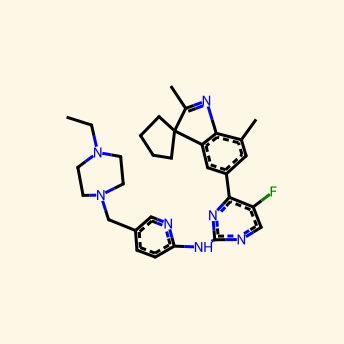 CCN1CCN(Cc2ccc(Nc3ncc(F)c(-c4cc(C)c5c(c4)C4(CCCC4)C(C)=N5)n3)nc2)CC1